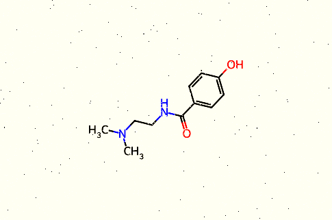 CN(C)CCNC(=O)c1c[c]c(O)cc1